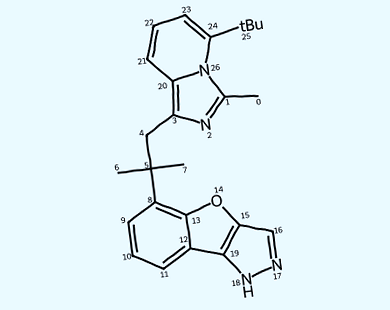 Cc1nc(CC(C)(C)c2cccc3c2oc2cn[nH]c23)c2cccc(C(C)(C)C)n12